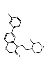 Cc1cccc(-c2ccc3c(c2)N(CCN2CCOCC2C)C(=O)CS3)n1